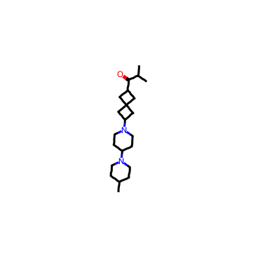 CC1CCN(C2CCN(C3CC4(CC(C(=O)C(C)C)C4)C3)CC2)CC1